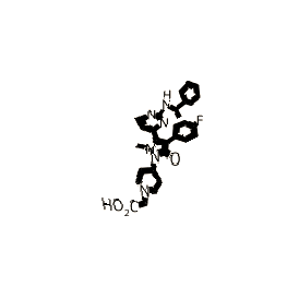 CC(Nc1nccc(-c2c(-c3ccc(F)cc3)c(=O)n(C3CCN(CC(=O)O)CC3)n2C)n1)c1ccccc1